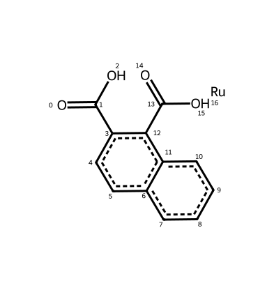 O=C(O)c1ccc2ccccc2c1C(=O)O.[Ru]